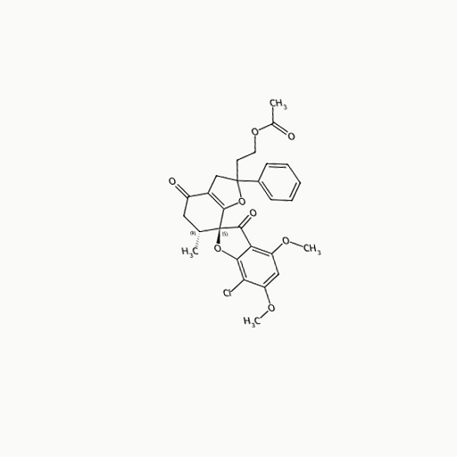 COc1cc(OC)c2c(c1Cl)O[C@]1(C2=O)C2=C(CC(CCOC(C)=O)(c3ccccc3)O2)C(=O)C[C@H]1C